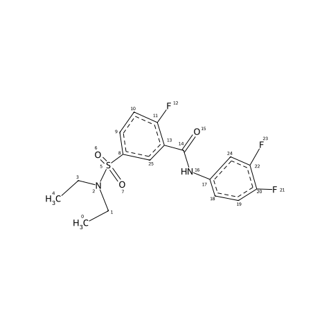 CCN(CC)S(=O)(=O)c1ccc(F)c(C(=O)Nc2ccc(F)c(F)c2)c1